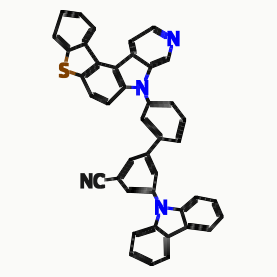 N#Cc1cc(-c2cccc(-n3c4cnccc4c4c5c(ccc43)sc3ccccc35)c2)cc(-n2c3ccccc3c3ccccc32)c1